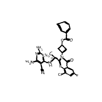 C[C@H](Nc1nc(N)nc(N)c1C#N)c1nc2c(Cl)cc(F)cc2c(=O)n1[C@H]1C[C@H](OC(=O)c2ccccc2)C1